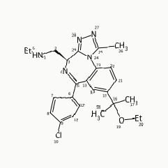 CCNC[C@@H]1N=C(c2ccc(Cl)cc2)c2cc(C(C)(C)OCC)ccc2-n2c(C)nnc21